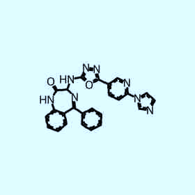 O=C1Nc2ccccc2C(c2ccccc2)=NC1Nc1nnc(-c2ccc(-n3ccnc3)nc2)o1